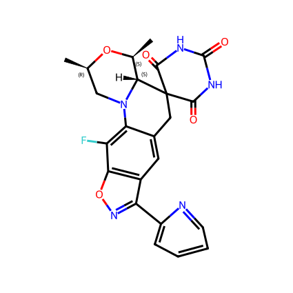 C[C@@H]1CN2c3c(cc4c(-c5ccccn5)noc4c3F)CC3(C(=O)NC(=O)NC3=O)[C@H]2[C@H](C)O1